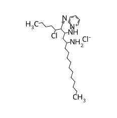 CCCCCCCCCCCC(N)CC(N[n+]1ccccc1)C(C#N)C(Cl)CCCC.[Cl-]